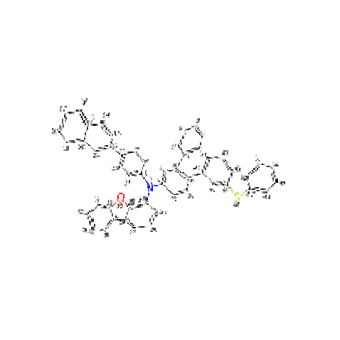 c1ccc(-c2cc(N(c3ccc(-c4ccc5ccccc5c4)cc3)c3cccc4c3oc3ccccc34)ccc2-c2ccc3c(c2)sc2ccccc23)cc1